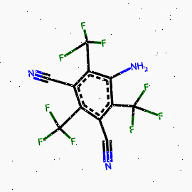 N#Cc1c(C(F)(F)F)c(N)c(C(F)(F)F)c(C#N)c1C(F)(F)F